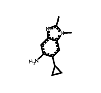 Cc1nc2cc(N)c(C3CC3)cc2n1C